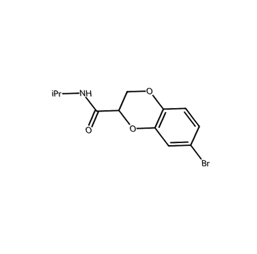 CC(C)NC(=O)C1COc2ccc(Br)cc2O1